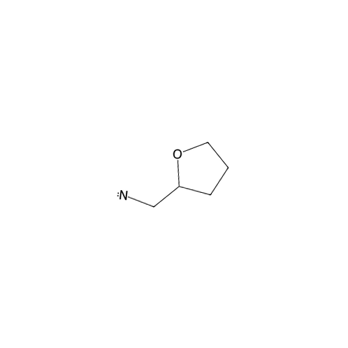 [N]CC1CCCO1